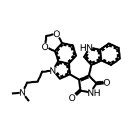 CN(C)CCCn1cc(C2=C(c3c[nH]c4ccccc34)C(=O)NC2=O)c2ccc3c(c21)OCO3